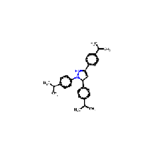 CC(C)c1ccc(C2=CC(c3ccc(C(C)C)cc3)N(c3ccc(C(C)C)cc3)N2)cc1